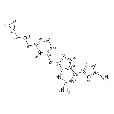 Cc1ccc(-c2nc(N)nc3c(Cc4cccc(COCC5CC5)n4)cnn23)o1